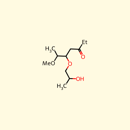 CCC(=O)CC(OCC(C)O)C(C)OC